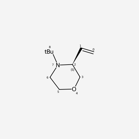 C=C[C@H]1COCCN1C(C)(C)C